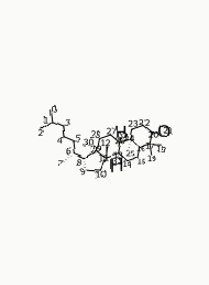 CC(C)CCC[C@@H](C)[C@H]1CC[C@@]2(C)[C@@H]3CCC4C(C)(C)C(=O)CC[C@]4(C)[C@H]3CC[C@]12C